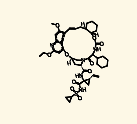 C=C[C@@H]1C[C@]1(NC(=O)[C@@H]1C[C@@H]2CN1C(=O)[C@H](C1CCCCC1)NC(=O)O[C@H]1CCCC[C@@H]1C/C=C/c1cc3c(cc(OCC)nc3cc1OC)O2)C(=O)NS(=O)(=O)C1CC1